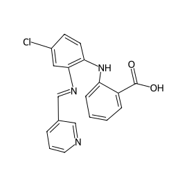 O=C(O)c1ccccc1Nc1ccc(Cl)cc1N=Cc1cccnc1